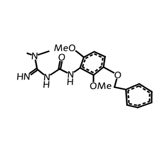 COc1ccc(OCc2ccccc2)c(OC)c1NC(=O)NC(=N)N(C)C